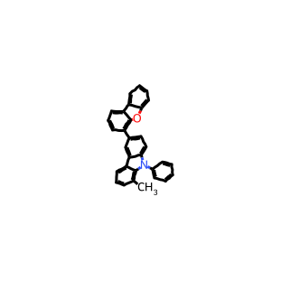 Cc1cccc2c3cc(-c4cccc5c4oc4ccccc45)ccc3n(-c3ccccc3)c12